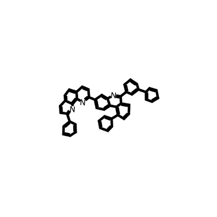 c1ccc(-c2cccc(-c3nc4cc(-c5ccc6ccc7ccc(-c8ccccc8)nc7c6n5)ccc4c4c(-c5ccccc5)cccc34)c2)cc1